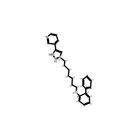 C1=C(c2cccnc2)NNN1CCCCCCCOc1ccccc1-c1ccccc1